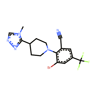 Cn1cnnc1C1CCN(c2c(Br)cc(C(F)(F)F)cc2C#N)CC1